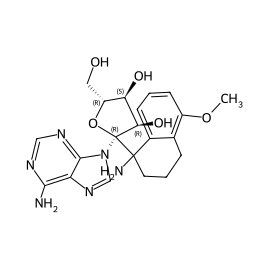 COc1cccc2c1CCCC2(N)[C@@]1(n2cnc3c(N)ncnc32)O[C@H](CO)[C@@H](O)[C@H]1O